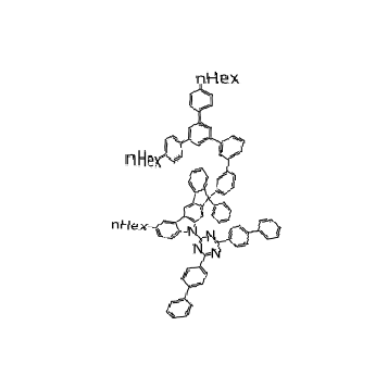 CCCCCCc1ccc(-c2cc(-c3ccc(CCCCCC)cc3)cc(-c3cccc(-c4cccc(C5(c6ccccc6)c6ccccc6-c6cc7c8cc(CCCCCC)ccc8n(-c8nc(-c9ccc(-c%10ccccc%10)cc9)nc(-c9ccc(-c%10ccccc%10)cc9)n8)c7cc65)c4)c3)c2)cc1